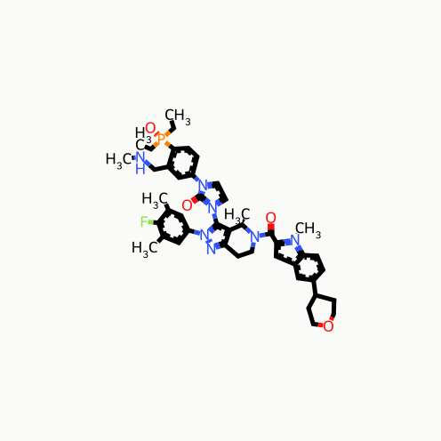 CCP(=O)(CC)c1ccc(-n2ccn(-c3c4c(nn3-c3cc(C)c(F)c(C)c3)CCN(C(=O)c3cc5cc(C6CCOCC6)ccc5n3C)[C@H]4C)c2=O)cc1CNC